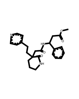 COC(=O)CC(NC(=O)CC1(CCc2ccncc2)CCCNC1=O)c1ccccc1